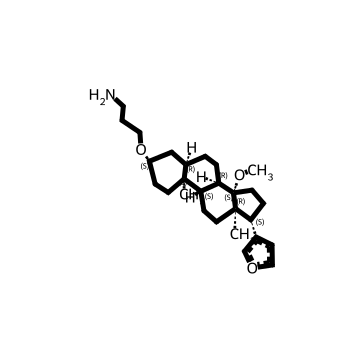 CO[C@]12CC[C@H](c3ccoc3)[C@@]1(C)CC[C@H]1[C@H]2CC[C@@H]2C[C@@H](OCCCN)CC[C@@]21C